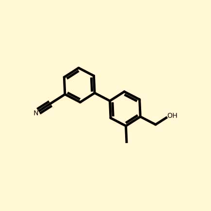 Cc1cc(-c2cccc(C#N)c2)ccc1CO